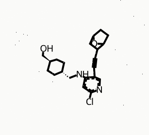 OC[C@H]1CC[C@H](CNc2cc(Cl)ncc2C#CC2CC3CCC2O3)CC1